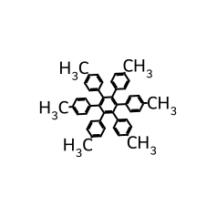 Cc1ccc(-c2c(-c3ccc(C)cc3)c(-c3ccc(C)cc3)c(-c3ccc(C)cc3)c(-c3ccc(C)cc3)c2-c2ccc(C)cc2)cc1